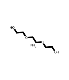 N.OCCOCCOCCO